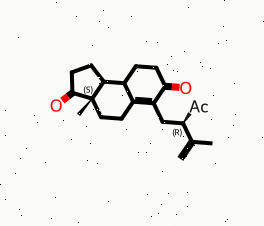 C=C(C)[C@@H](CC1=C2CC[C@]3(C)C(=O)CCC3C2CCC1=O)C(C)=O